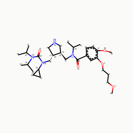 COCCCOc1cc(C(=O)N(C[C@@H]2CNC[C@H]2CN(C(=O)N(C(C)C)C(C)C)C2CC2)C(C)C)ccc1OC